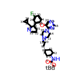 CC(C)(C)OC(=O)N[C@H]1CC[C@H](CCCN2CCN(c3ncncc3Oc3ccc(F)cc3-c3cccnc3C3CC3)CC2)CC1